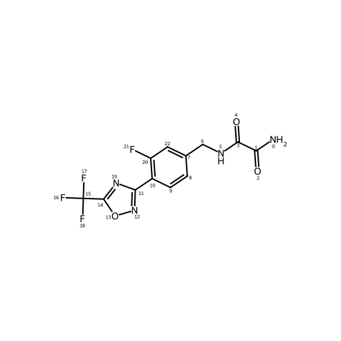 NC(=O)C(=O)NCc1ccc(-c2noc(C(F)(F)F)n2)c(F)c1